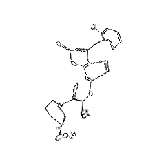 CCC(Oc1ccc2c(-c3ccccc3Cl)cc(=O)oc2c1)C(=O)N1CCC[C@H](C(=O)O)C1